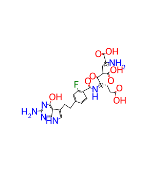 Nc1nc(O)c2c(CCc3ccc(C(=O)N[C@@H](CCC(=O)O)C(=O)C(C[C@H](N)C(=O)O)C(=O)O)c(F)c3)c[nH]c2n1